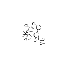 CCC(CN(C1CC1)S(C)(=O)=O)N1C(=O)[C@@](C)(CC(=O)O)C[C@H](c2cccc(Cl)c2)[C@H]1c1ccc(Cl)cc1